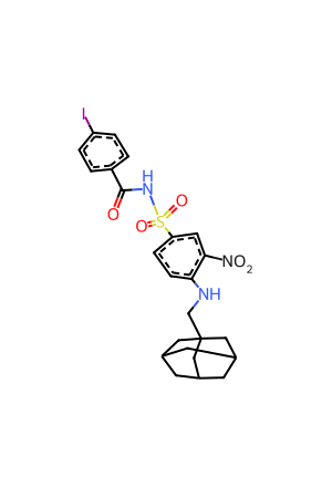 O=C(NS(=O)(=O)c1ccc(NCC23CC4CC(CC(C4)C2)C3)c([N+](=O)[O-])c1)c1ccc(I)cc1